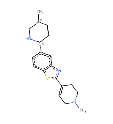 C[C@H]1CC[C@H](c2ccc3sc(C4=CCN(C)CC4)nc3c2)NC1